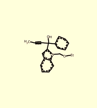 CC#CC(O)(c1ccccc1)c1cc2ccccc2n1COCC